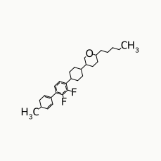 CCCCCC1CCC(C2CCC(c3ccc(C4=CCC(C)C=C4)c(F)c3F)CC2)CO1